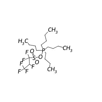 CCCCP(CCCC)(CCCC)(CCCC)OS(=O)(=O)C(F)(F)C(F)C(F)(F)F